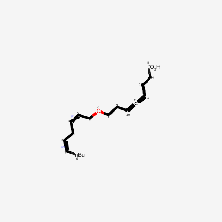 CCCC/C=C\C/C=C\COCCC=C=CCCC(=O)O